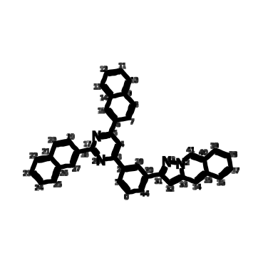 c1cc(-c2cc(-c3ccc4ccccc4c3)nc(-c3ccc4ccccc4c3)n2)cc(-c2cc3cc4ccccc4cn3n2)c1